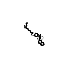 C=CCN(C)CCCCCCOC1CCC(N(C)C(=O)Oc2ccc3ccccc3c2)CC1